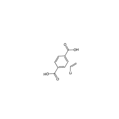 O=C(O)c1ccc(C(=O)O)cc1.[Li][CH]=C